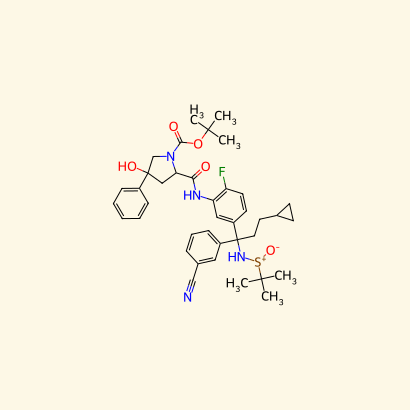 CC(C)(C)OC(=O)N1CC(O)(c2ccccc2)CC1C(=O)Nc1cc(C(CCC2CC2)(N[S+]([O-])C(C)(C)C)c2cccc(C#N)c2)ccc1F